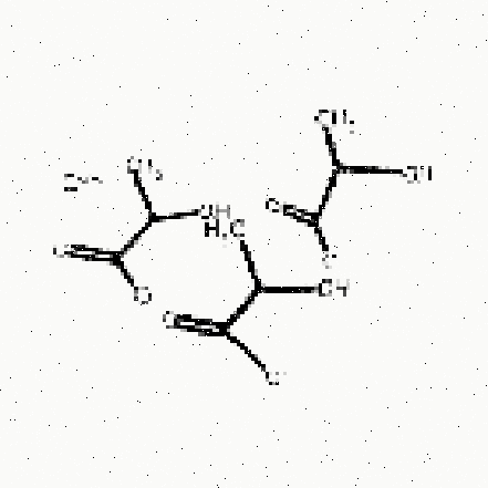 CC(O)C(=O)[O-].CC(O)C(=O)[O-].CC(O)C(=O)[O-].[Cr+3]